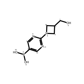 OCC1CN(c2ncc(B(O)O)cn2)C1